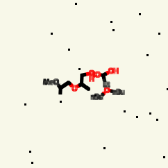 CCC(O)O.CCCCOCCCC.COC(C)COC(C)CO